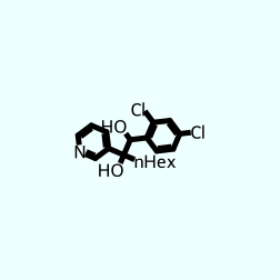 CCCCCCC(O)(c1cccnc1)C(O)c1ccc(Cl)cc1Cl